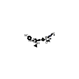 C[C@@H](C(=O)N[C@H]1C[C@@H](C#Cc2cnc(Nc3ccc(C#N)cc3)nc2NC2CC2)C1)N(C)C(=O)/C=C/CN(C)C